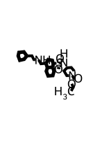 CCOC(=O)N1CCC(NS(=O)(=O)c2ccc(CNCCc3ccccc3)c3ccccc23)CC1